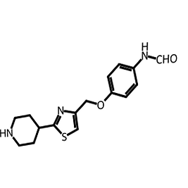 O=CNc1ccc(OCc2csc(C3CCNCC3)n2)cc1